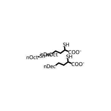 CCCCCCCCCCCCC(S)C(=O)[O-].CCCCCCCCCCCCC(S)C(=O)[O-].CCCCCCC[CH2][Sn+2][CH2]CCCCCCC